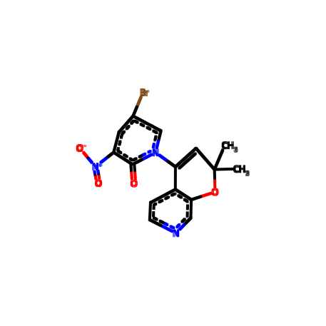 CC1(C)C=C(n2cc(Br)cc([N+](=O)[O-])c2=O)c2ccncc2O1